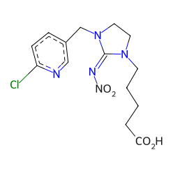 O=C(O)CCCCN1CCN(Cc2ccc(Cl)nc2)C1=N[N+](=O)[O-]